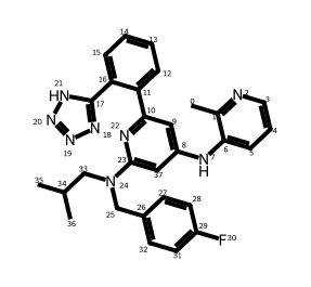 Cc1ncccc1Nc1cc(-c2ccccc2-c2nnn[nH]2)nc(N(Cc2ccc(F)cc2)CC(C)C)c1